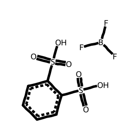 FB(F)F.O=S(=O)(O)c1ccccc1S(=O)(=O)O